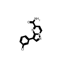 NC(=O)c1ccn2ncc(-c3cccc(Cl)c3)c2n1